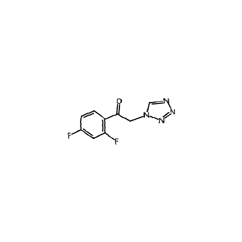 O=C(Cn1cnnn1)c1ccc(F)cc1F